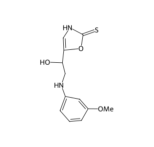 COc1cccc(NCC(O)c2c[nH]c(=S)o2)c1